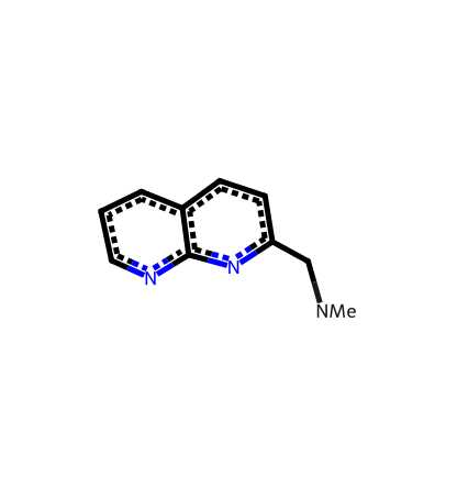 CNCc1ccc2cccnc2n1